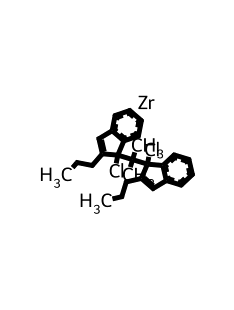 CCCC1=Cc2ccccc2C1(Cl)C(C)(C)C1(Cl)C(CCC)=Cc2ccccc21.[Zr]